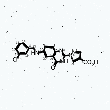 O=C(O)c1cnn(-c2nc3ccc(NCc4cccc(Cl)c4)cc3c(=O)[nH]2)c1